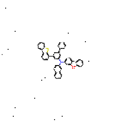 c1ccc(-c2cc(-c3cccc4c3sc3ccccc34)cc(N(c3ccc4ccccc4c3)c3ccc4c(c3)oc3ccccc34)c2)cc1